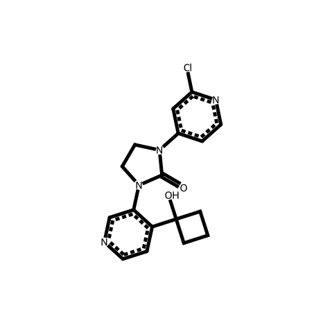 O=C1N(c2ccnc(Cl)c2)CCN1c1cnccc1C1(O)CCC1